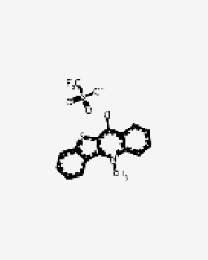 C[n+]1c2ccccc2c(Cl)c2sc3ccccc3c21.O=S(=O)([O-])C(F)(F)F